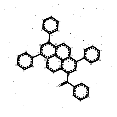 O=C(c1ccccc1)c1cc(-c2ccccc2)c2ccc3c(-c4ccccc4)cc(-c4ccccc4)c4ccc1c2c43